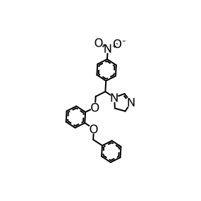 O=[N+]([O-])c1ccc(C(COc2ccccc2OCc2ccccc2)N2C=NCC2)cc1